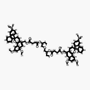 CCC(COCC(CC)OC(=O)CCC(=O)OCc1cc2c(OC)cc(OC)cc2c2c1C=CC(c1ccccc1)(c1ccc(N(C)C)cc1)O2)OC(=O)CCC(=O)OCc1cc2c(OC)cc(OC)cc2c2c1C=CC(c1ccccc1)(c1ccc(N(C)C)cc1)O2